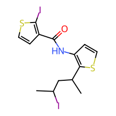 CC(I)CC(C)c1sccc1NC(=O)c1ccsc1I